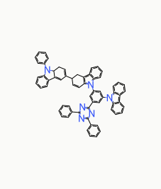 C1=CC(C2=CCC3C(=C2)c2ccccc2N3c2ccccc2)Cc2c1n(-c1cc(-c3nc(-c4ccccc4)nc(-c4ccccc4)n3)cc(-n3c4ccccc4c4ccccc43)c1)c1ccccc21